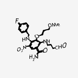 COCCCOc1c(NCCCC=O)c(C(N)=O)cc([N+](=O)[O-])c1NCc1ccc(F)cc1